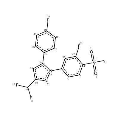 CS(=O)(=O)c1ccc(-n2nc(C(F)F)cc2-c2ccc(F)cc2)cc1F